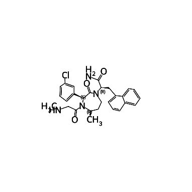 CNCC(=O)N1[C@H](C)CCN([C@H](Cc2cccc3ccccc23)C(N)=O)C(=O)[C@@H]1c1cccc(Cl)c1